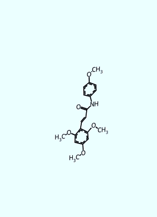 COc1ccc(NC(=O)C=Cc2c(OC)cc(OC)cc2OC)cc1